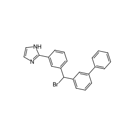 BrC(c1cccc(-c2ccccc2)c1)c1cccc(-c2ncc[nH]2)c1